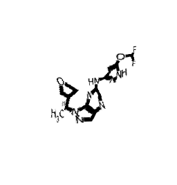 C[C@@H](C1COC1)n1ncc2ncc(Nc3cc(OC(F)F)[nH]n3)nc21